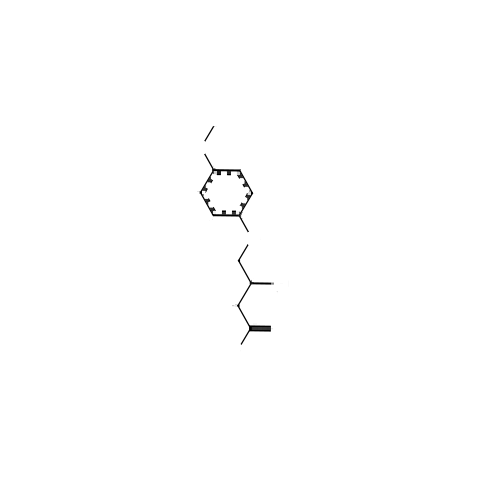 CSc1ccc(OCC(O)CC(=O)O)cc1